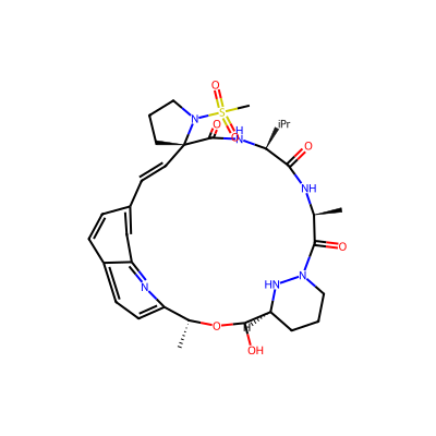 CC(C)[C@@H]1NC(=O)[C@@]2(/C=C/c3ccc4ccc(nc4c3)[C@@H](C)OC(O)[C@@H]3CCCN(N3)C(=O)[C@H](C)NC1=O)CCCN2S(C)(=O)=O